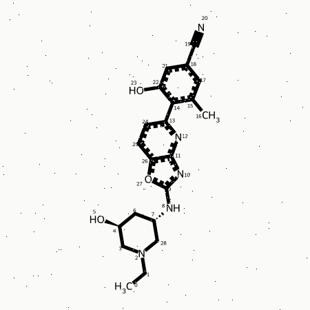 CCN1C[C@@H](O)C[C@H](Nc2nc3nc(-c4c(C)cc(C#N)cc4O)ccc3o2)C1